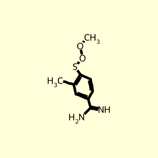 COOSc1ccc(C(=N)N)cc1C